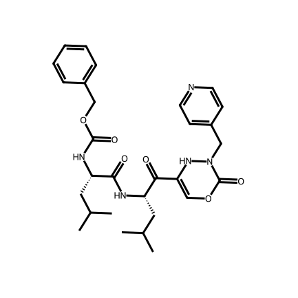 CC(C)C[C@H](NC(=O)OCc1ccccc1)C(=O)N[C@@H](CC(C)C)C(=O)C1=COC(=O)N(Cc2ccncc2)N1